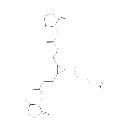 O=C(O)CCCC(O)C1C(CCC(=O)ON2C(=O)CCC2=O)C1CCC(=O)ON1C(=O)CCC1=O